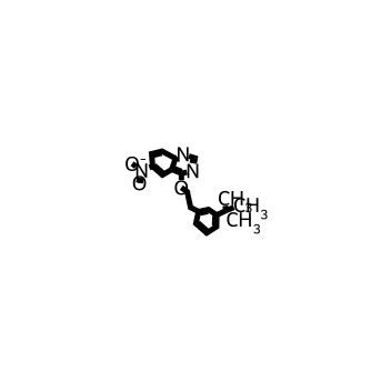 CC(C)(C)c1cccc(CCOc2ncnc3ccc([N+](=O)[O-])cc23)c1